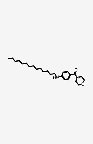 CCCCCCCCCCCCCCNc1ccc(C(=O)N2CCOCC2)cc1